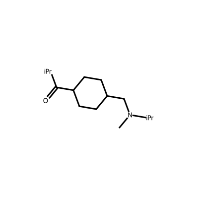 CC(C)C(=O)C1CCC(CN(C)C(C)C)CC1